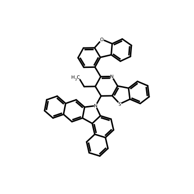 CCC1C(c2cccc3oc4ccccc4c23)=Nc2c(sc3ccccc23)C1n1c2cc3ccccc3cc2c2c3ccccc3ccc21